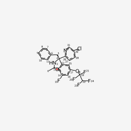 CC(=O)N[C@@](Cc1ccccc1)(c1cc(F)cc(OC(F)(F)C(F)F)c1)c1ccc(Cl)cn1